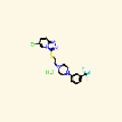 Cl.FC(F)(F)c1cccc(N2CCN(CCSc3nnc4ccc(Cl)cn34)CC2)c1